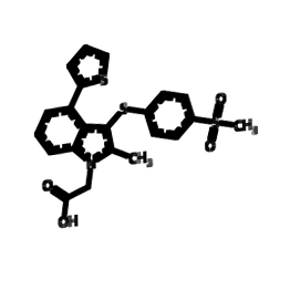 Cc1c(Sc2ccc(S(C)(=O)=O)cc2)c2c(-c3cccs3)cccc2n1CC(=O)O